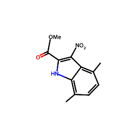 COC(=O)c1[nH]c2c(C)ccc(C)c2c1[N+](=O)[O-]